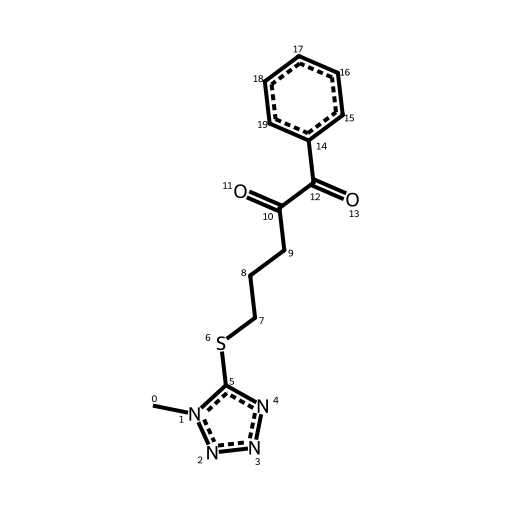 Cn1nnnc1SCCCC(=O)C(=O)c1ccccc1